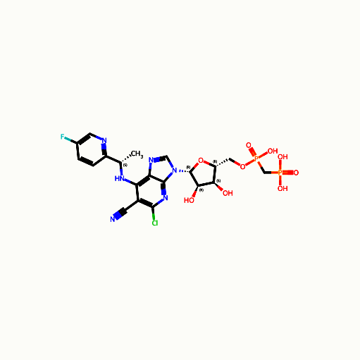 C[C@H](Nc1c(C#N)c(Cl)nc2c1ncn2[C@@H]1O[C@H](COP(=O)(O)CP(=O)(O)O)[C@@H](O)[C@H]1O)c1ccc(F)cn1